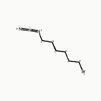 [N-]=[N+]=NCCCCCCBr